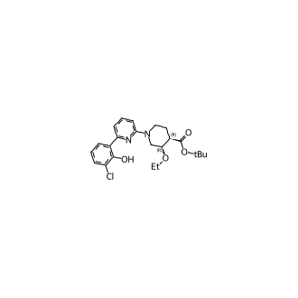 CCO[C@H]1CN(c2cccc(-c3cccc(Cl)c3O)n2)CC[C@H]1C(=O)OC(C)(C)C